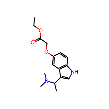 CCOC(=O)COc1ccc2[nH]cc(C(C)N(C)C)c2c1